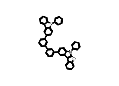 c1ccc(-n2c3ccccc3c3cc(-c4cccc(-c5cccc(-c6ccc7c(c6)c6c8ccccc8oc6n7-c6ccccc6)c5)c4)ccc32)cc1